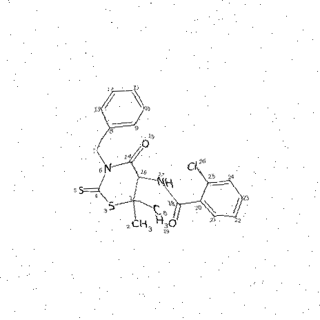 CC1(C)SC(=S)N(Cc2ccccc2)C(=O)C1NC(=O)c1ccccc1Cl